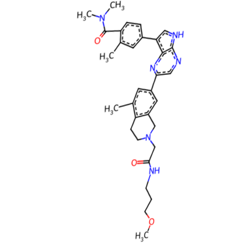 COCCCNC(=O)CN1CCc2c(C)cc(-c3cnc4[nH]cc(-c5ccc(C(=O)N(C)C)c(C)c5)c4n3)cc2C1